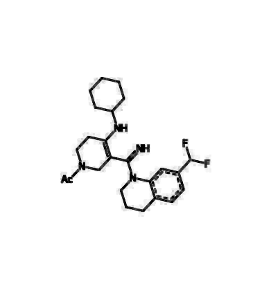 CC(=O)N1CCC(NC2CCCCC2)=C(C(=N)N2CCCc3ccc(C(F)F)cc32)C1